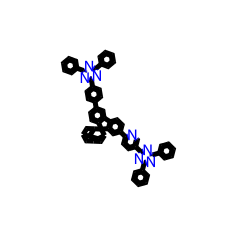 c1ccc(-c2nc(-c3ccccc3)nc(-c3ccc(-c4ccc5c(c4)-c4ccc(-c6ccc(-c7nc(-c8ccccc8)nc(-c8ccccc8)n7)cn6)cc4C54C5CC6CC(C5)CC4C6)cc3)n2)cc1